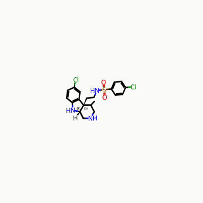 CC1CNC[C@@H]2Nc3ccc(Cl)cc3[C@]12CCNS(=O)(=O)c1ccc(Cl)cc1